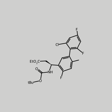 CCOC(=O)C[C@H](NC(=O)OC(C)(C)C)c1cc(-c2c(F)cc(F)cc2Cl)c(C)cc1F